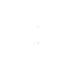 CC(=O)CCC1C2CCC3=CC4(CC[C@]3(C)C2CCC1(C)C)SCCS4